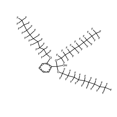 OC(OC(F)(F)C(F)(F)C(F)(F)C(F)(F)C(F)(F)C(F)(F)C(F)(F)C(F)(F)C(F)(F)F)(OC(F)(F)C(F)(F)C(F)(F)C(F)(F)C(F)(F)C(F)(F)C(F)(F)C(F)(F)C(F)(F)F)c1ccccc1OC(F)(F)C(F)(F)C(F)(F)C(F)(F)C(F)(F)C(F)(F)C(F)(F)C(F)(F)C(F)(F)F